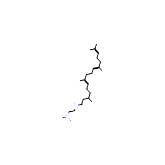 CC(C)=CCCC(C)=CCCC(C)=CCCC(C)CC(=O)NCCN(C)C